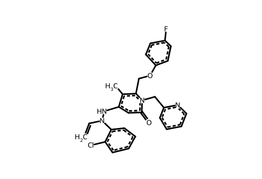 C=CN(Nc1cc(=O)n(Cc2ccccn2)c(COc2ccc(F)cc2)c1C)c1ccccc1Cl